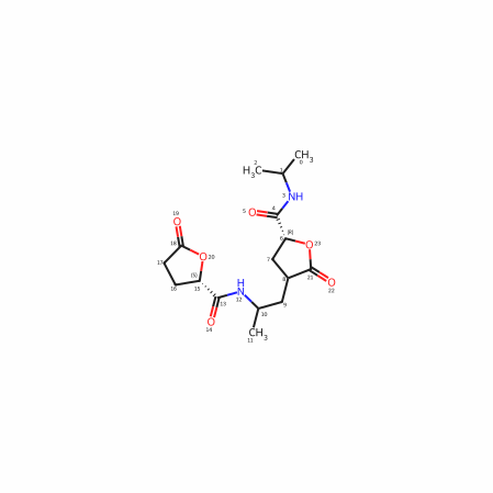 CC(C)NC(=O)[C@H]1CC(CC(C)NC(=O)[C@@H]2CCC(=O)O2)C(=O)O1